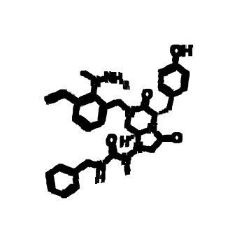 C=Cc1cccc(CN2C[C@H]3N(C(=O)CN3N(C)C(=O)NCc3ccccc3)[C@@H](Cc3ccc(O)cc3)C2=O)c1N(C)N